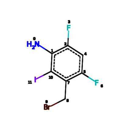 Nc1c(F)cc(F)c(CBr)c1I